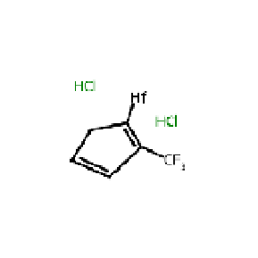 Cl.Cl.FC(F)(F)C1=[C]([Hf])CC=C1